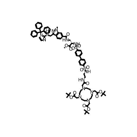 COC(=O)[C@H](CNC(=O)c1ccc2c(CNc3nccn3C(c3ccccc3)(c3ccccc3)c3ccccc3)nn(C)c2c1)NS(=O)(=O)c1ccc(-c2ccc(S(=O)(=O)NCCNC(=O)CN3CCN(CC(=O)OC(C)(C)C)CCN(CC(=O)OC(C)(C)C)CCN(CC(=O)OC(C)(C)C)CC3)cc2)cc1